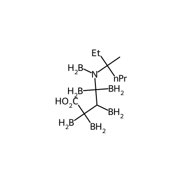 BC(C(B)(B)C(=O)O)C(B)(B)N(B)C(C)(CC)CCC